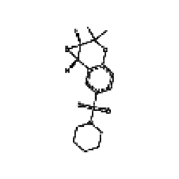 CC1(C)Oc2ccc(S(=O)(=O)N3CCCCC3)cc2[C@@H]2O[C@@H]21